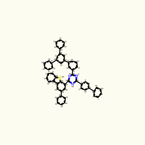 c1ccc(-c2ccc(-c3nc(-c4cccc(-c5cc(-c6ccccc6)cc(-c6ccccc6)c5)c4)nc(-c4cc(-c5ccccc5)cc5c4sc4ccccc45)n3)cc2)cc1